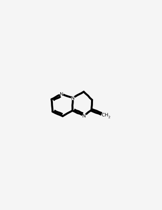 C=C1CCN2N=CC=CC2=N1